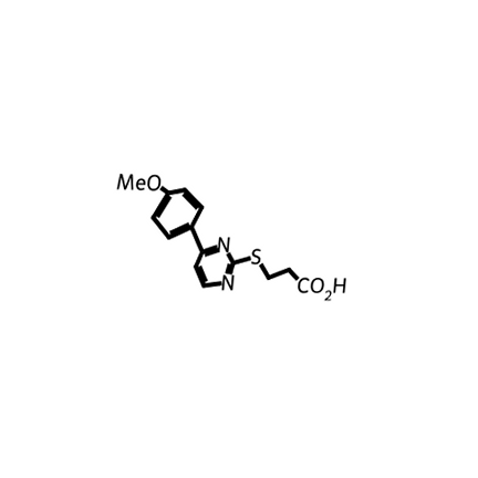 COc1ccc(-c2ccnc(SCCC(=O)O)n2)cc1